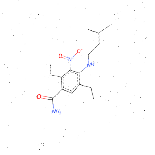 CCc1cc(C(N)=O)c(CC)c([N+](=O)[O-])c1NCCC(C)C